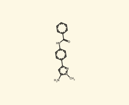 Cn1nc(-c2ccc(NC(=O)c3ccccc3)cc2)cc1N